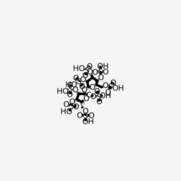 O=S(=O)(O)OCC1O[C@@H](O[C@]2(COS(=O)(=O)O)O[C@H](COS(=O)(=O)O)[C@H](OS(=O)(=O)O)[C@H]2OS(=O)(=O)O)C(OS(=O)(=O)O)C(OS(=O)(=O)O)[C@@H]1OS(=O)(=O)O